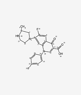 CC1CN(c2cc3c(cc2F)c(=O)c(C(=O)O)cn3-c2ccc(F)cc2)CCN1